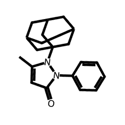 Cc1cc(=O)n(-c2ccccc2)n1C12CC3CC(CC(C3)C1)C2